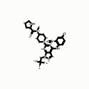 [C-]#[N+]c1cc(Cl)ccc1Nc1nc(N2CCC(N(C)C(=O)C3CCCN3)CC2)nc2c1cnn2CC(F)(F)F